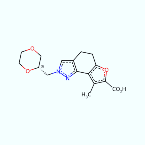 Cc1c(C(=O)O)oc2c1-c1nn(C[C@H]3COCCO3)cc1CC2